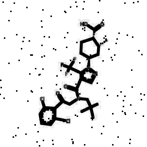 C[C@@H]1C[C@@H](n2ncc(C(=O)N(CC(=O)c3c(Cl)cccc3Cl)CC(C)(C)F)c2C(F)(F)F)CC[C@@H]1C(=O)O